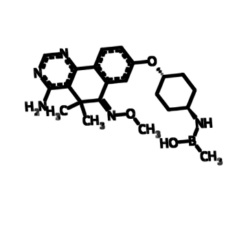 CO/N=C1\c2cc(O[C@H]3CC[C@H](NB(C)O)CC3)ccc2-c2ncnc(N)c2C1(C)C